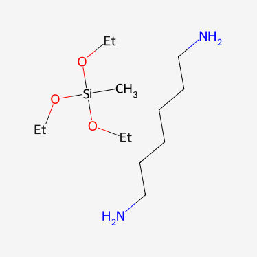 CCO[Si](C)(OCC)OCC.NCCCCCCN